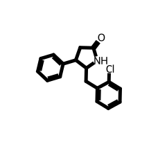 O=C1CC(c2ccccc2)C(Cc2ccccc2Cl)N1